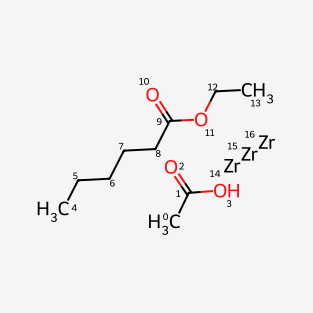 CC(=O)O.CCCCCC(=O)OCC.[Zr].[Zr].[Zr]